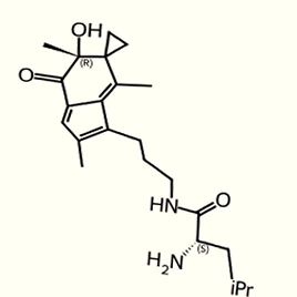 CC1=C(CCCNC(=O)[C@@H](N)CC(C)C)C2=C(C)C3(CC3)[C@@](C)(O)C(=O)C2=C1